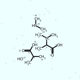 CC(C(=O)O)N(C)C.CC(C)C(=O)O.CNC.Cl